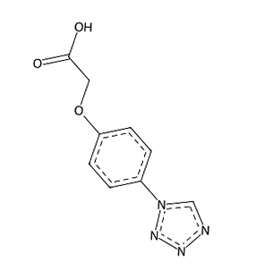 O=C(O)COc1ccc(-n2cnnn2)cc1